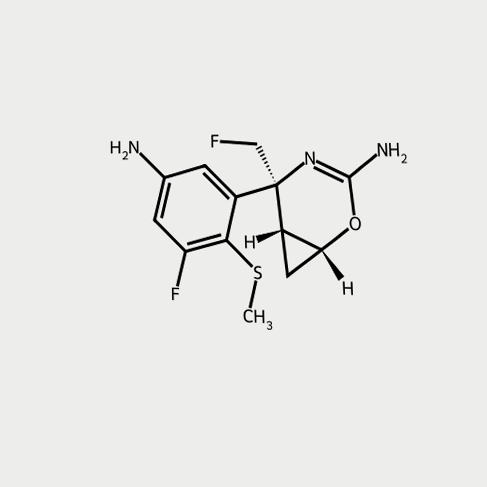 CSc1c(F)cc(N)cc1[C@@]1(CF)N=C(N)O[C@@H]2C[C@@H]21